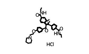 CCNC(=O)c1ccc(-c2sc3cc(C(=O)NCC)ccc3c2C(=O)c2ccc(OCCN3CCCCC3)cc2)cc1.Cl